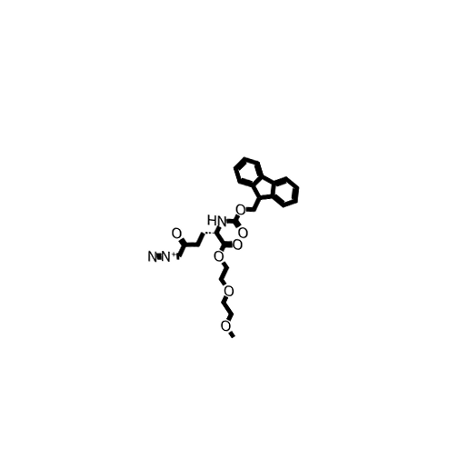 COCCOCCOC(=O)[C@H](CCC(=O)C=[N+]=[N-])NC(=O)OCC1c2ccccc2-c2ccccc21